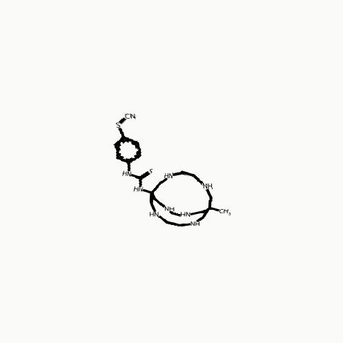 CC12CNCCNCC(NC(=S)Nc3ccc(SC#N)cc3)(CNCCNC1)CNCCNC2